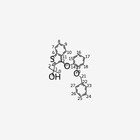 CC(C)(O)c1sc2ccccc2c1Oc1ccccc1OCc1ccccc1